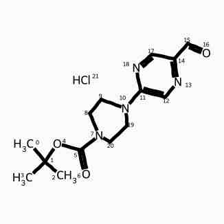 CC(C)(C)OC(=O)N1CCN(c2cnc(C=O)cn2)CC1.Cl